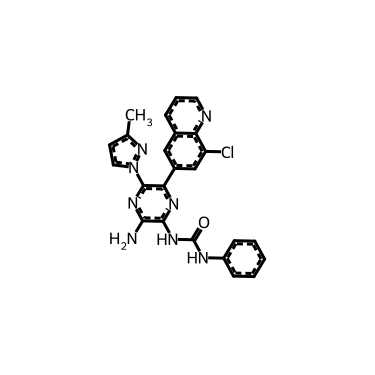 Cc1ccn(-c2nc(N)c(NC(=O)Nc3ccccc3)nc2-c2cc(Cl)c3ncccc3c2)n1